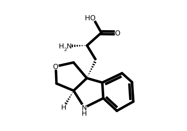 N[C@@H](C[C@@]12COC[C@@H]1Nc1ccccc12)C(=O)O